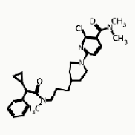 CN(C)C(=O)c1ccc(N2CCC(CCCN(C)C(=O)C(c3ccccc3)C3CC3)CC2)nc1Cl